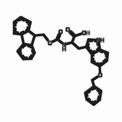 O=C(NC(Cc1c[nH]c2ccc(OCc3ccccc3)cc12)C(=O)O)OCC1c2ccccc2-c2ccccc21